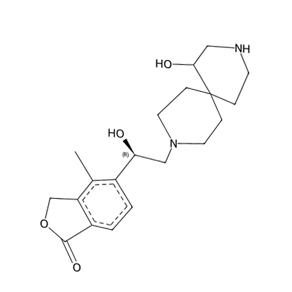 Cc1c([C@@H](O)CN2CCC3(CCNCC3O)CC2)ccc2c1COC2=O